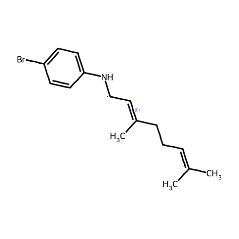 CC(C)=CCC/C(C)=C/[CH]Nc1ccc(Br)cc1